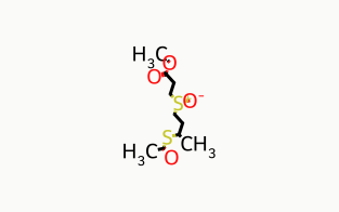 COC(=O)CC[S+]([O-])CCC(C)SC(C)=O